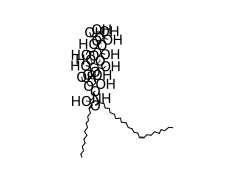 CCCCCCCC/C=C\CCCCCCCCCCCCCC(=O)N[C@@H](CO[C@@H]1OC(CO)[C@@H](O[C@@H]2OC(CO)[C@H](O[C@@H]3OC(CO)[C@H](O)[C@H](O[C@@H]4OC(CO)[C@H](O)[C@H](O)C4O)C3O)[C@H](O)C2O)[C@H](O)C1O)[C@H](O)/C=C/CCCCCCCCCCCCC